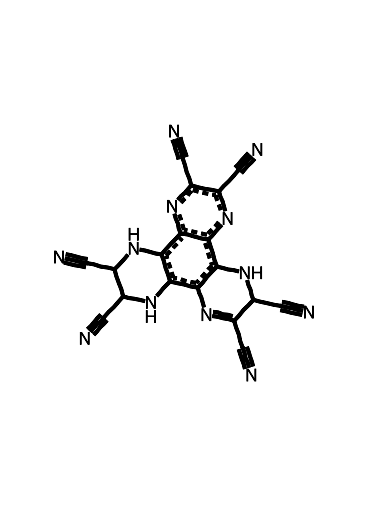 N#CC1=Nc2c3c(c4nc(C#N)c(C#N)nc4c2NC1C#N)NC(C#N)C(C#N)N3